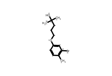 Cc1ccc(OCCCC(C)(C)O)cc1Br